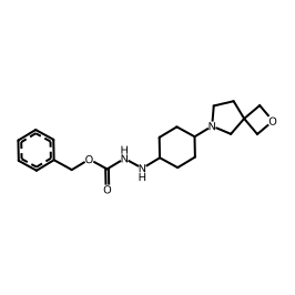 O=C(NNC1CCC(N2CCC3(COC3)C2)CC1)OCc1ccccc1